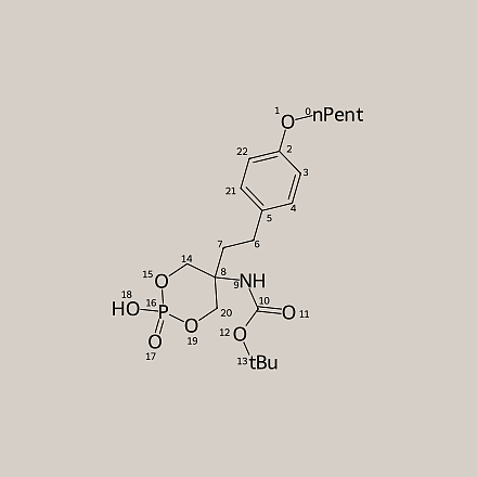 CCCCCOc1ccc(CCC2(NC(=O)OC(C)(C)C)COP(=O)(O)OC2)cc1